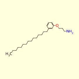 CCCCCCCCCCCCCCCc1cccc(OCCCN)c1